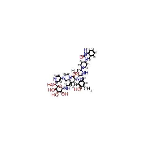 Bc1cc(C[C@@H](NC(=C)N2CCC(N3Cc4ccccc4NC3=O)CC2)C(=O)N[C@@H](CCCCN[C@H]2O[C@H](CO)C(O)C(O)C2O)C(=O)N2CCN(c3ccncc3)CC2)cc(C)c1O